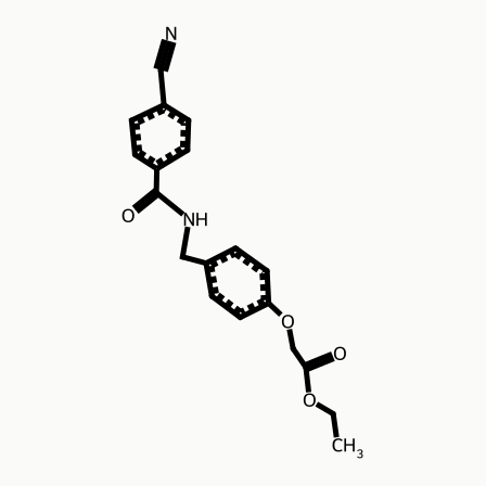 CCOC(=O)COc1ccc(CNC(=O)c2ccc(C#N)cc2)cc1